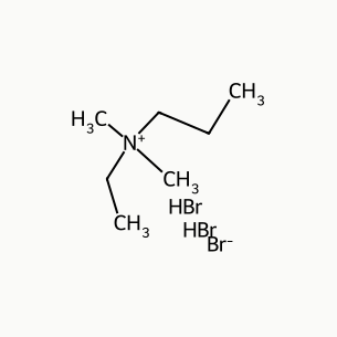 Br.Br.CCC[N+](C)(C)CC.[Br-]